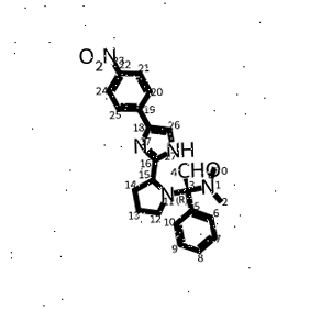 CN(C)[C@](C=O)(c1ccccc1)N1CCCC1c1nc(-c2ccc([N+](=O)[O-])cc2)c[nH]1